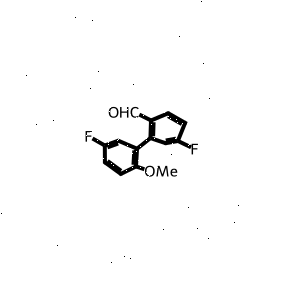 COc1ccc(F)cc1-c1cc(F)ccc1C=O